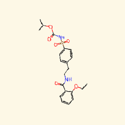 CCOc1ccccc1C(=O)NCCc1ccc(S(=O)(=O)NC(=O)OC(C)C)cc1